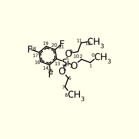 CCCO[Si](OCCC)(OCCC)c1c(F)cc(F)cc1F